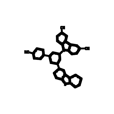 N#Cc1ccc(-c2cc(-c3ccc4sc5ccccc5c4c3)cc(-n3c4ccc(C#N)cc4c4cc(C#N)ccc43)c2)cc1